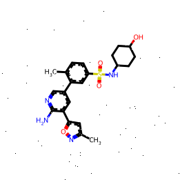 Cc1cc(-c2cc(-c3cc(S(=O)(=O)NC4CCC(O)CC4)ccc3C)cnc2N)on1